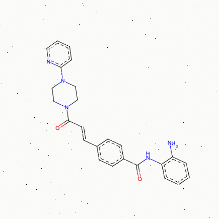 Nc1ccccc1NC(=O)c1ccc(C=CC(=O)N2CCN(c3ccccn3)CC2)cc1